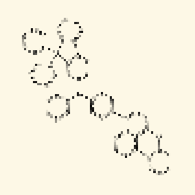 c1ccc(C2(c3ccccc3)c3ccccc3-c3ccc(N(c4ccc(-c5ccc6c7c(cccc57)-c5ccccc5O6)cc4)c4cccnc4)cc32)cc1